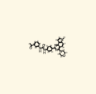 CC(=O)c1cccc(NC(=O)Nc2ccc(-c3nc(N4CCOCC4)c4ccc5c(ccn5C)c4n3)cc2)c1